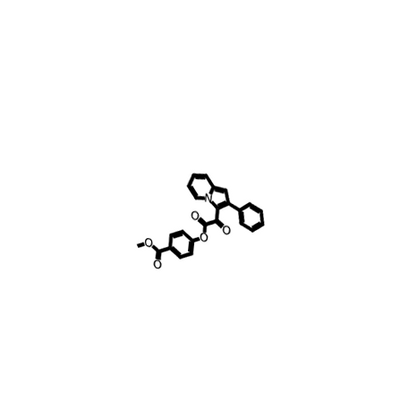 COC(=O)c1ccc(OC(=O)C(=O)c2c(-c3ccccc3)cc3ccccn23)cc1